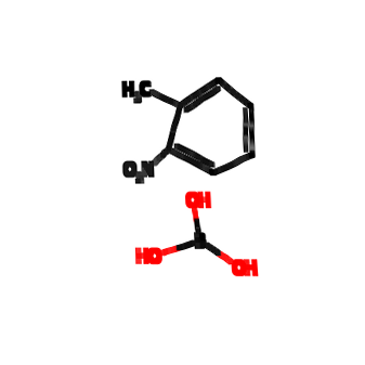 Cc1ccccc1[N+](=O)[O-].OB(O)O